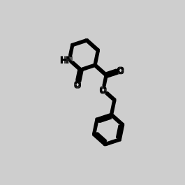 O=C1NCCCC1C(=O)OCc1ccccc1